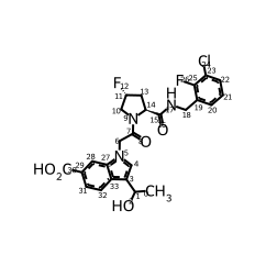 CC(O)c1cn(CC(=O)N2C[C@H](F)C[C@H]2C(=O)NCc2cccc(Cl)c2F)c2cc(C(=O)O)ccc12